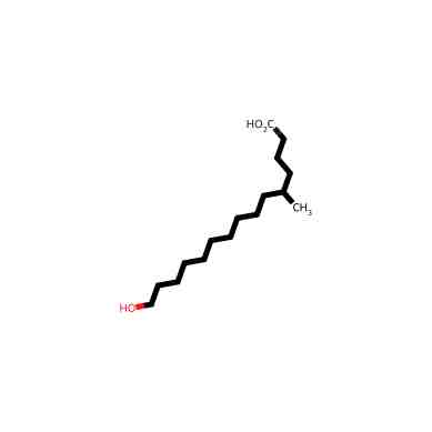 CC(CCCCCCCCCCO)CCCC(=O)O